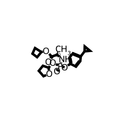 C[C@H](NP(=O)(Oc1ccc(C2CC2)cc1)OC1CCCO1)C(=O)OC1CCC1